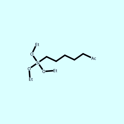 CCO[Si](CCCCCC(C)=O)(OCC)OCC